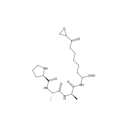 C[C@H](NC(=O)[C@H]1CCCN1)C(=O)N[C@H](C)C(=O)NC([C]=O)CCCCCC(=O)C1CO1